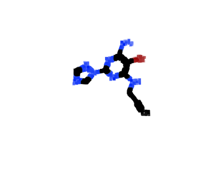 C#CCNc1nc(-n2cncn2)nc(N)c1Br